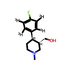 [2H]c1c([2H])c([C@@H]2CCN(C)C[C@H]2CO)c([2H])c([2H])c1F